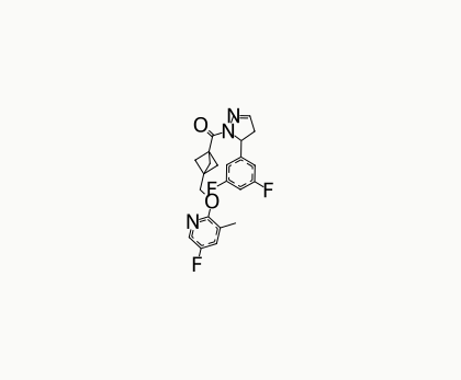 Cc1cc(F)cnc1OCC12CC(C(=O)N3N=CCC3c3cc(F)cc(F)c3)(C1)C2